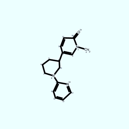 Cn1cc(C2CCCN(c3ccccn3)C2)ccc1=O